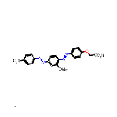 COc1cc(/N=N/c2ccc([N+](=O)[O-])cc2)ccc1/N=N/c1ccc(OCC(=O)O)cc1